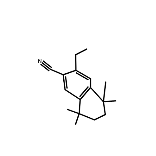 CCc1cc2c(cc1C#N)C(C)(C)CCC2(C)C